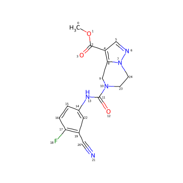 COC(=O)c1cnn2c1CN(C(=O)Nc1ccc(F)c(C#N)c1)CC2